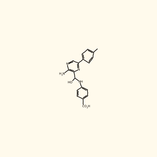 Cc1ccc(-c2cnc(N)c(C(O)Nc3ccc(C(=O)O)cc3)n2)cc1